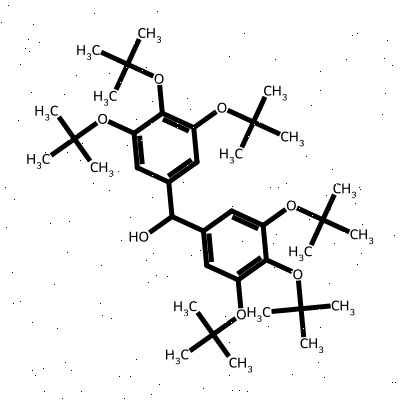 CC(C)(C)Oc1cc(C(O)c2cc(OC(C)(C)C)c(OC(C)(C)C)c(OC(C)(C)C)c2)cc(OC(C)(C)C)c1OC(C)(C)C